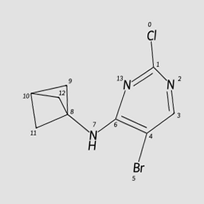 Clc1ncc(Br)c(NC23CC(C2)C3)n1